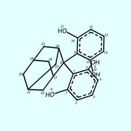 Oc1cccc(O)c1C1(c2c(O)cccc2O)C2CC3CC(C2)CC1C3